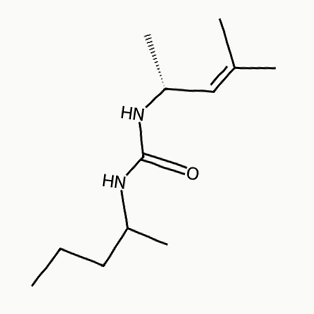 CCCC(C)NC(=O)N[C@H](C)C=C(C)C